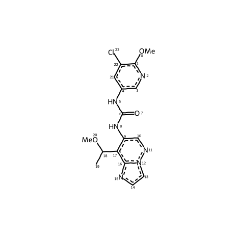 COc1ncc(NC(=O)Nc2cnn3ccnc3c2C(C)OC)cc1Cl